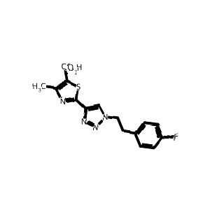 Cc1nc(-c2cn(CCc3ccc(F)cc3)nn2)sc1C(=O)O